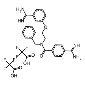 N=C(N)c1ccc(C(=O)N(CCOc2cccc(C(=N)N)c2)Cc2ccccc2)cc1.O=C(O)C(F)(F)F.O=C(O)C(F)(F)F